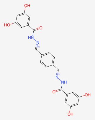 O=C(N/N=C/c1ccc(/C=N/NC(=O)c2cc(O)cc(O)c2)cc1)c1cc(O)cc(O)c1